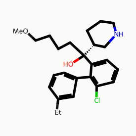 CCc1cccc(-c2c(Cl)cccc2C(O)(CCCCOC)[C@@H]2CCCNC2)c1